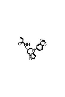 C=CC(=O)NC[C@@H]1CN(c2ccc3scnc3c2)c2ccnn2C1